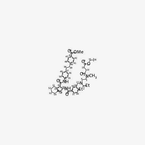 CCC(CC)N(CCN(C)C(=O)CCC(=O)OCI)Cc1cccc(C(=O)Nc2sc3c(c2C(=O)Nc2ccc(CCc4ccc(C(=O)OC)cc4)cc2)CCCC3)c1